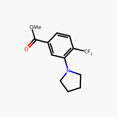 COC(=O)c1ccc(C(F)(F)F)c(N2CCCC2)c1